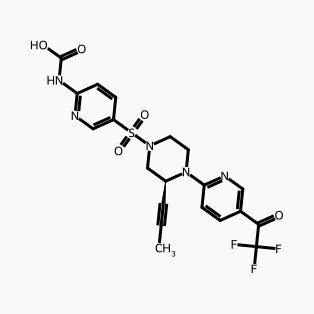 CC#C[C@H]1CN(S(=O)(=O)c2ccc(NC(=O)O)nc2)CCN1c1ccc(C(=O)C(F)(F)F)cn1